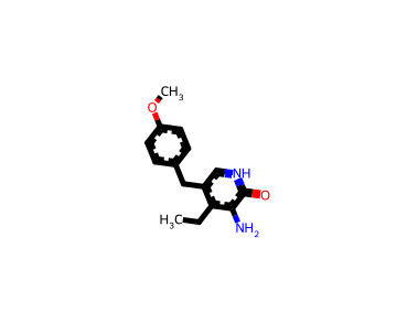 CCc1c(Cc2ccc(OC)cc2)c[nH]c(=O)c1N